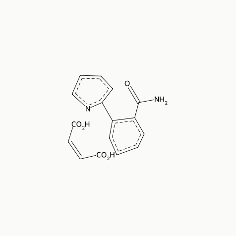 NC(=O)c1ccccc1-c1ccccn1.O=C(O)/C=C\C(=O)O